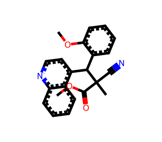 COC(=O)C(C)(C#N)C(c1ccccc1OC)c1ccnc2ccccc12